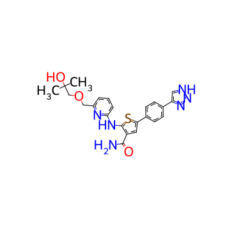 CC(C)(O)COCc1cccc(Nc2sc(-c3ccc(-c4c[nH]nn4)cc3)cc2C(N)=O)n1